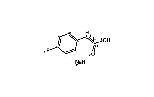 O=[SH](O)=[SH]c1ccc(F)cc1.[NaH]